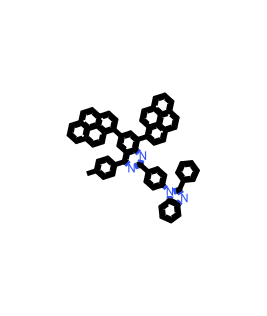 Cc1ccc(-c2nc(-c3ccc(-n4c(-c5ccccc5)nc5ccccc54)cc3)nc3c(-c4ccc5ccc6cccc7ccc4c5c67)cc(-c4ccc5ccc6cccc7ccc4c5c67)cc23)cc1